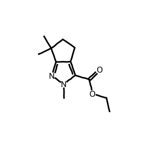 CCOC(=O)c1c2c(nn1C)C(C)(C)CC2